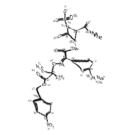 COC(=O)[C@H]1[C@H](NC(=O)C(=NOC(C)(C)C(=O)OCc2ccc([N+](=O)[O-])cc2)c2csc(N)n2)C(=O)N1S(=O)(=O)[O-].[Na+]